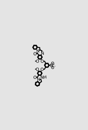 COc1cc2c(cc1OCc1cc(COc3cc4c(cc3OC)C(=O)N3c5ccccc5CC3N4)cc([N+](=O)[O-])c1)N=CC1Cc3ccccc3N1C2=O